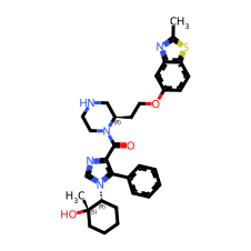 Cc1nc2cc(OCC[C@@H]3CNCCN3C(=O)c3ncn([C@@H]4CCCC[C@]4(C)O)c3-c3ccccc3)ccc2s1